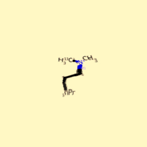 C/[N+]([13CH3])=C/CC[13CH2][13CH3]